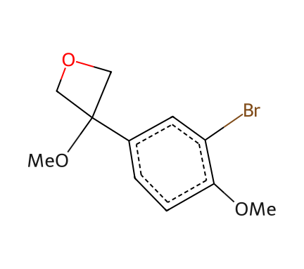 COc1ccc(C2(OC)COC2)cc1Br